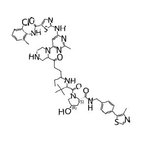 CCC(CCC(=O)C1CNCCN1c1cc(Nc2ncc(C(=O)Nc3c(C)cccc3Cl)s2)nc(C)n1)NC(C(=O)N1C[C@H](O)C[C@H]1C(=O)NCc1ccc(-c2scnc2C)cc1)C(C)(C)C